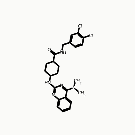 CN(C)c1nc(NC2CCC(C(=O)NCc3ccc(Cl)c(Cl)c3)CC2)nc2ccccc12